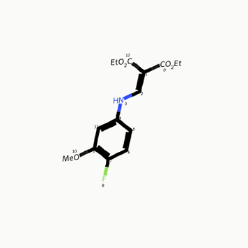 CCOC(=O)C(=CNc1ccc(F)c(OC)c1)C(=O)OCC